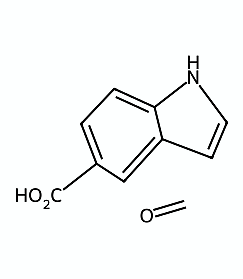 C=O.O=C(O)c1ccc2[nH]ccc2c1